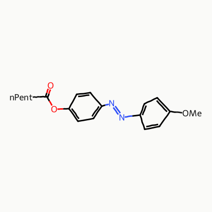 CCCCCC(=O)Oc1ccc(N=Nc2ccc(OC)cc2)cc1